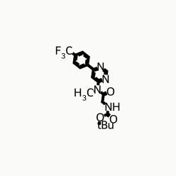 CN(C(=O)CNC(=O)OC(C)(C)C)c1cc(-c2ccc(C(F)(F)F)cc2)ncn1